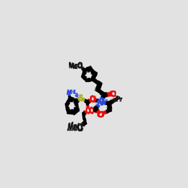 COCCOC(O[N+]1(C(=O)CCc2ccc(OC)cc2)C(=O)OCC1C(C)C)Sc1ccccc1N